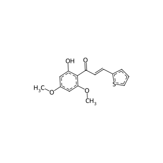 COc1cc(O)c(C(=O)C=Cc2cccs2)c(OC)c1